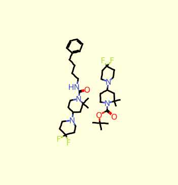 CC(C)(C)OC(=O)N1CCC(N2CCC(F)(F)CC2)CC1(C)C.CC1(C)CC(N2CCC(F)(F)CC2)CCN1C(=O)NCCCCc1ccccc1